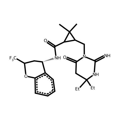 CCC1(CC)CC(=O)N(CC2C(C(=O)N[C@H]3CC(C(F)(F)F)Oc4ccccc43)C2(C)C)C(=N)N1